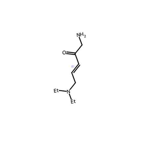 CCN(CC)C/C=C/C(=O)CN